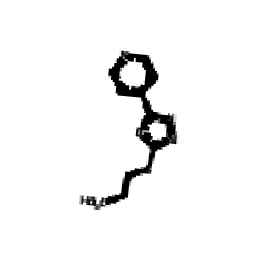 O=C(O)CCSc1nnc(-c2ccncc2)o1